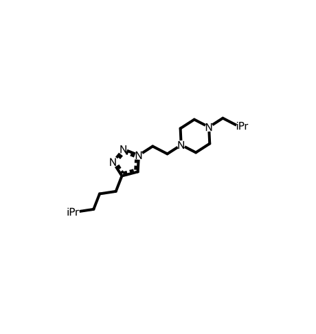 CC(C)CCCc1cn(CCN2CCN(CC(C)C)CC2)nn1